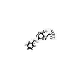 CP(O)(=S)CC[C@H](NC(=O)OCc1ccccc1)C(=O)O